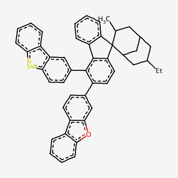 CCC1CC2CC(C)C3(c4ccccc4-c4c3ccc(-c3ccc5c(c3)oc3ccccc35)c4-c3ccc4sc5ccccc5c4c3)C(C1)C2